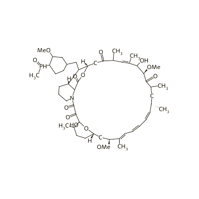 COC1CC(CC2[C@H]3CCCN4C(=O)C(=O)C5(O)O[C@@H](CCC5C)C[C@H](OC)/C(C)=C/C=C/C=C/[C@@H](C)CC(C)C(=O)[C@H](OC)C(O)/C(C)=C/C(C)C(=O)C[C@@H]2OC(=O)C34)CCC1[PH](C)=O